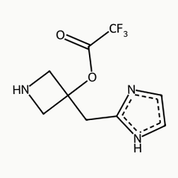 O=C(OC1(Cc2ncc[nH]2)CNC1)C(F)(F)F